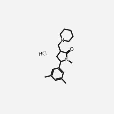 Cc1cc(C)cc(C2CC(CN3CCCCC3)C(=O)N2C)c1.Cl